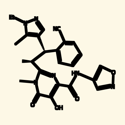 CCn1ncc([C@H](c2ccccc2C#N)[C@H](C)c2nc(C(=O)Nc3cnoc3)c(O)c(=O)n2C)c1C